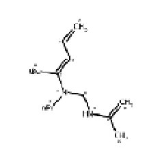 C=C/C=C(/N(CCC)CNC(=C)C)C(C)(C)C